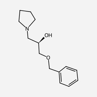 O[C@@H](COCc1ccccc1)CN1CCCC1